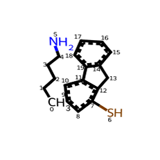 CCCCCN.Sc1cccc2c1Cc1ccccc1-2